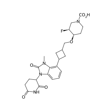 Cn1c(=O)n(C2CCC(=O)NC2=O)c2cccc(C3CC(CO[C@@H]4CCN(C(=O)O)C[C@@H]4F)C3)c21